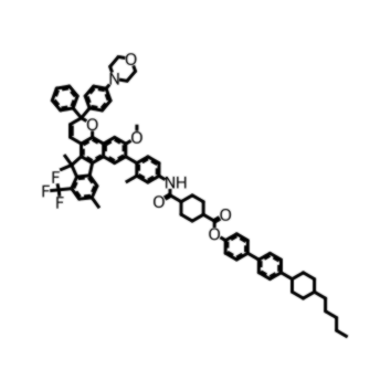 CCCCCC1CCC(c2ccc(-c3ccc(OC(=O)C4CCC(C(=O)Nc5ccc(-c6cc7c8c(c9c(c7cc6OC)OC(c6ccccc6)(c6ccc(N7CCOCC7)cc6)C=C9)C(C)(C)c6c-8cc(C)cc6C(F)(F)F)c(C)c5)CC4)cc3)cc2)CC1